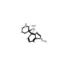 Cl.Cn1ccc2c(C3(O)CCCNC3)cccc21